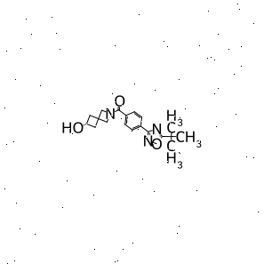 CC(C)(C)c1nc(-c2ccc(C(=O)N3CC4(CC(O)C4)C3)cc2)no1